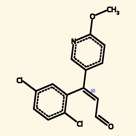 COc1ccc(/C(=C/C=O)c2cc(Cl)ccc2Cl)cn1